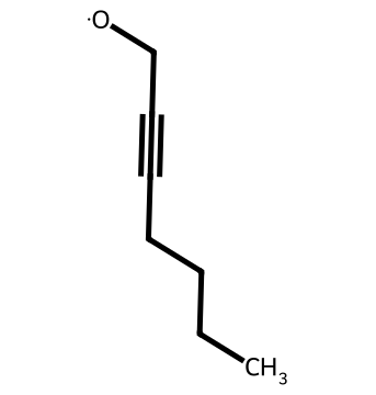 CCCCC#CC[O]